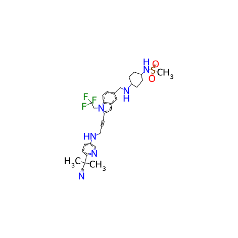 CC(C)(C#N)c1ccc(NCC#Cc2cc3cc(CNC4CCC(NS(C)(=O)=O)CC4)ccc3n2CC(F)(F)F)cn1